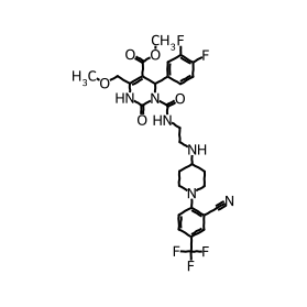 COCC1=C(C(=O)OC)C(c2ccc(F)c(F)c2)N(C(=O)NCCNC2CCN(c3ccc(C(F)(F)F)cc3C#N)CC2)C(=O)N1